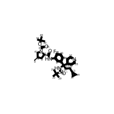 C[C@@H]1C[C@H](C(=O)Nc2cc(C(CCC3CC3)(N[S+]([O-])C(C)(C)C)c3ccncc3)ccc2F)N(C(=O)OC(C)(C)C)C1